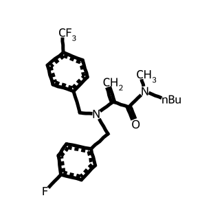 C=C(C(=O)N(C)CCCC)N(Cc1ccc(F)cc1)Cc1ccc(C(F)(F)F)cc1